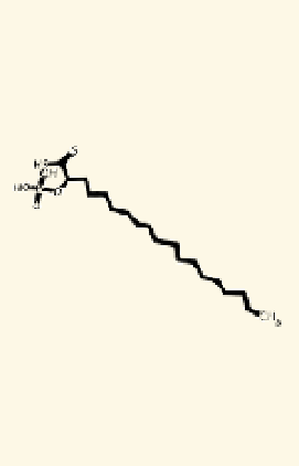 CCCCCCCCCCCCCCCCCC(OP(=O)(O)O)C(=S)S